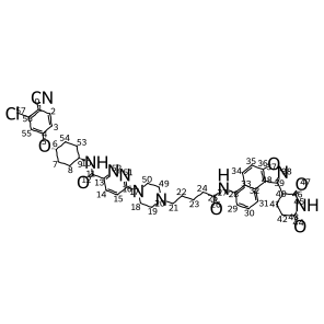 N#Cc1ccc(O[C@H]2CC[C@H](NC(=O)c3ccc(N4CCN(CCCCC(=O)Nc5cccc6c5ccc5onc(C7CCC(=O)NC7=O)c56)CC4)nn3)CC2)cc1Cl